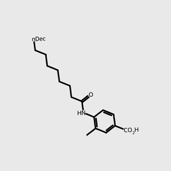 CCCCCCCCCCCCCCCCCC(=O)Nc1ccc(C(=O)O)cc1C